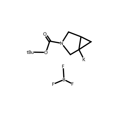 CC(C)(C)OC(=O)N1CC2C[C]2([K])C1.FB(F)F